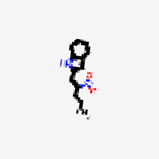 CCC/C(=C/c1cc2ccccc2[nH]1)[N+](=O)[O-]